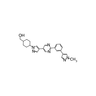 Cn1cc(-c2cccc(-c3ncc(-c4cnn(C5CCC(CO)CC5)c4)cn3)c2)cn1